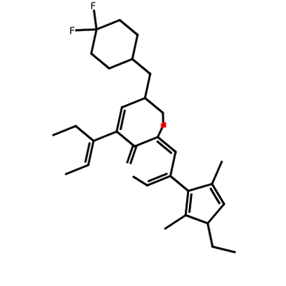 C=C(/C(C)=C\C(=C/C)C1=C(C)C(CC)C=C1C)C(=C\C(CC)CC1CCC(F)(F)CC1)/C(=C/C)CC